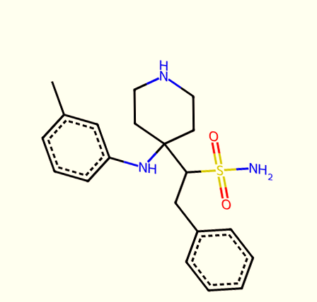 Cc1cccc(NC2(C(Cc3ccccc3)S(N)(=O)=O)CCNCC2)c1